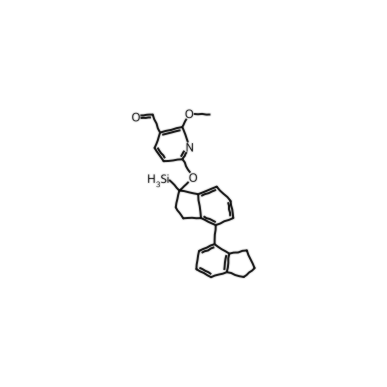 COc1nc(OC2([SiH3])CCc3c(-c4cccc5c4CCC5)cccc32)ccc1C=O